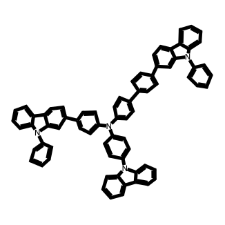 c1ccc(-n2c3ccccc3c3ccc(-c4ccc(-c5ccc(N(c6ccc(-c7ccc8c9ccccc9n(-c9ccccc9)c8c7)cc6)c6ccc(-n7c8ccccc8c8ccccc87)cc6)cc5)cc4)cc32)cc1